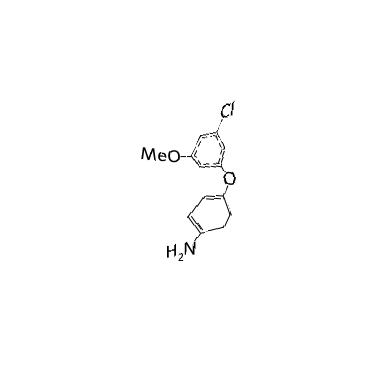 COc1cc(Cl)cc(OC2=CC=C(N)CC2)c1